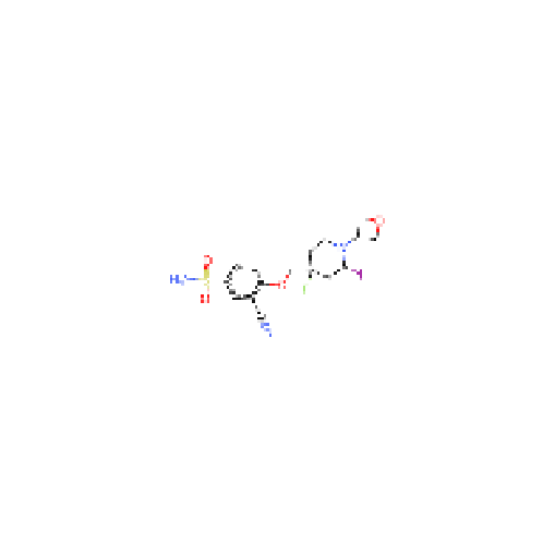 N#Cc1cc(S(N)(=O)=O)ccc1OCC1(F)CCN(C2COC2)C(I)C1